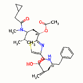 C=C(C[C@H](Cc1ccccc1)NC(=O)c1csc([C@@H](CC(C(C)C)N(C)C(=O)CC2CC2)OC(C)=O)n1)C(=O)O